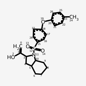 C=C(O)C1CC2CCCCC2N1S(=O)(=O)c1ccc(Oc2ccc(C)cc2)cc1